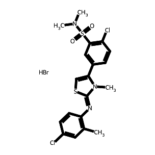 Br.Cc1cc(Cl)ccc1N=c1scc(-c2ccc(Cl)c(S(=O)(=O)N(C)C)c2)n1C